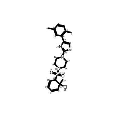 Cc1ccc(C)c(-c2csc(N3CCN(S(=O)(=O)C4C=CC=CC4(C)Cl)CC3)n2)c1